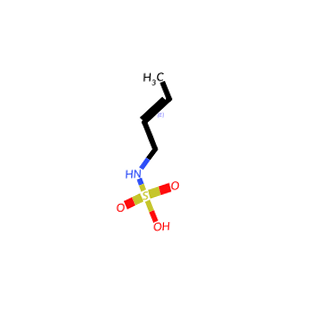 C/C=C/CNS(=O)(=O)O